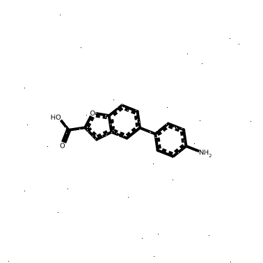 Nc1ccc(-c2ccc3oc(C(=O)O)cc3c2)cc1